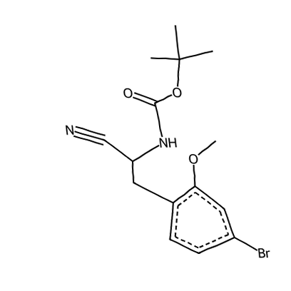 COc1cc(Br)ccc1CC(C#N)NC(=O)OC(C)(C)C